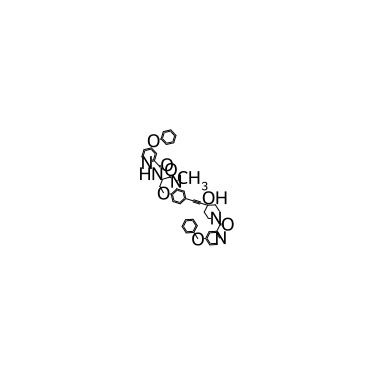 CN1C(=O)C(NC(=O)c2cc(Oc3ccccc3)ccn2)COc2ccc(C#CC3(O)CCN(C(=O)c4cc(Oc5ccccc5)ccn4)CC3)cc21